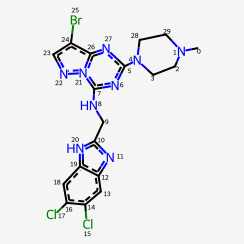 CN1CCN(c2nc(NCc3nc4cc(Cl)c(Cl)cc4[nH]3)n3ncc(Br)c3n2)CC1